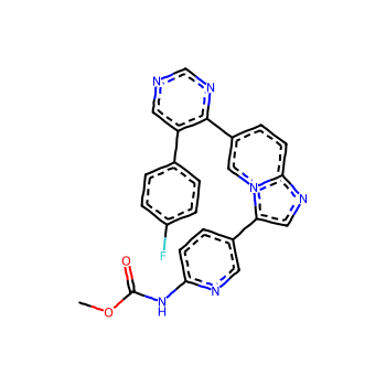 COC(=O)Nc1ccc(-c2cnc3ccc(-c4ncncc4-c4ccc(F)cc4)cn23)cn1